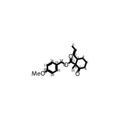 C/C=C/C1CCCC(=O)C1(C)C(=O)OCc1ccc(OC)cc1